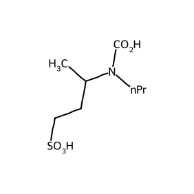 CCCN(C(=O)O)C(C)CCS(=O)(=O)O